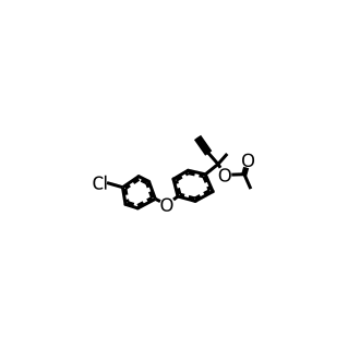 C#CC(C)(OC(C)=O)c1ccc(Oc2ccc(Cl)cc2)cc1